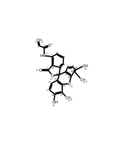 C=CC(=O)Nc1cccc2c1C(=O)OC21c2ccc(O)c(C)c2Oc2c1ccc(O)c2C